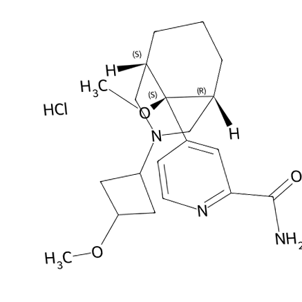 COC1CC(N2C[C@H]3CCC[C@@H](C2)[C@@]3(OC)c2ccnc(C(N)=O)c2)C1.Cl